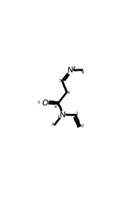 C=CN(C)C(=O)C/C=N\C